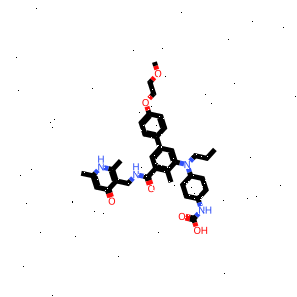 CCCN(c1cc(-c2ccc(OCCOC)cc2)cc(C(=O)NCc2c(C)[nH]c(C)cc2=O)c1C)C1CCC(NC(=O)O)CC1